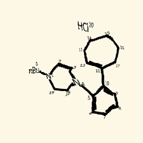 CCCCN1CCN(c2ccccc2C2=CCCCCC2)CC1.Cl